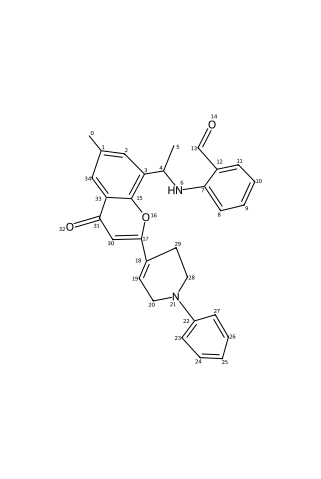 Cc1cc(C(C)Nc2ccccc2C=O)c2oc(C3=CCN(c4ccccc4)CC3)cc(=O)c2c1